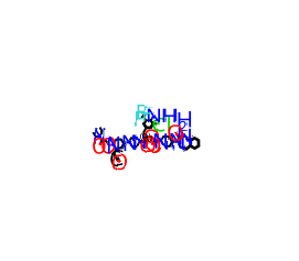 CCN(CC)C(=O)CON1CCC(N2CCN(C(=O)[C@@H](Cc3cc(Cl)c(N)c(C(F)(F)F)c3)OC(=O)N3CCC(N4CCc5ccccc5NC4=O)CC3)CC2)CC1C=C=O